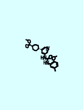 COc1ccc(C)cc1NC(=O)Nc1cncc([C@H]2CC[C@H](C(=O)OC)CC2)c1